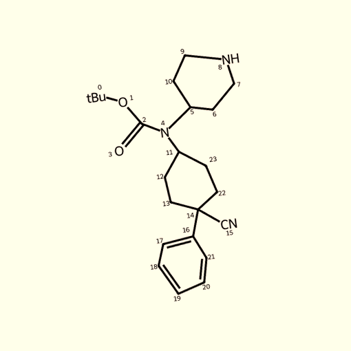 CC(C)(C)OC(=O)N(C1CCNCC1)C1CCC(C#N)(c2ccccc2)CC1